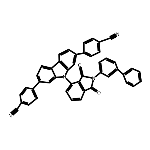 N#Cc1ccc(-c2ccc3c4ccc(-c5ccc(C#N)cc5)cc4n(-c4cccc5c4C(=O)N(c4cccc(-c6ccccc6)c4)C5=O)c3c2)cc1